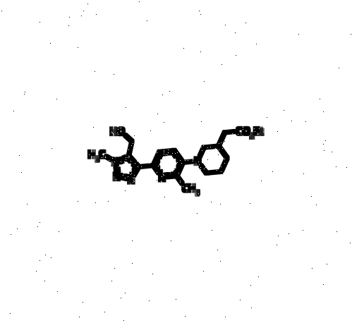 CCOC(=O)CC1CCCN(c2ccc(-c3nnn(C)c3CO)nc2C)C1